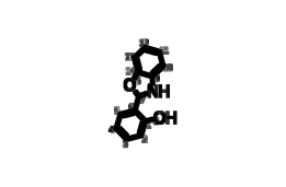 Oc1ccccc1C1Nc2ccccc2O1